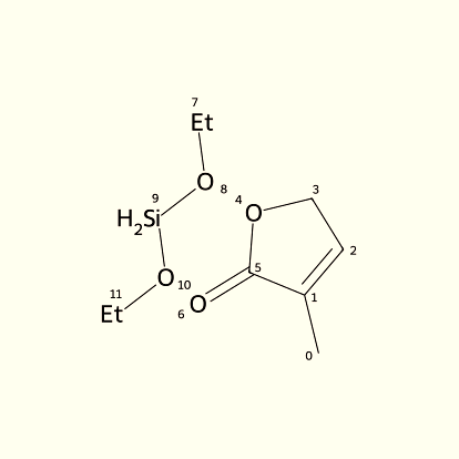 CC1=CCOC1=O.CCO[SiH2]OCC